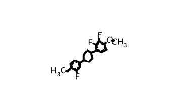 CCc1ccc(C2CCC(c3ccc(OC)c(F)c3F)CC2)cc1F